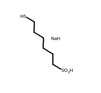 O=S(=O)(O)CCCCCCS.[NaH]